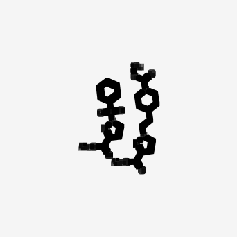 COC(=O)c1ccn(CCC2CCN(C(=O)OC(C)(C)C)CC2)n1.COC(=O)c1ccn(S(=O)(=O)c2ccccc2)n1